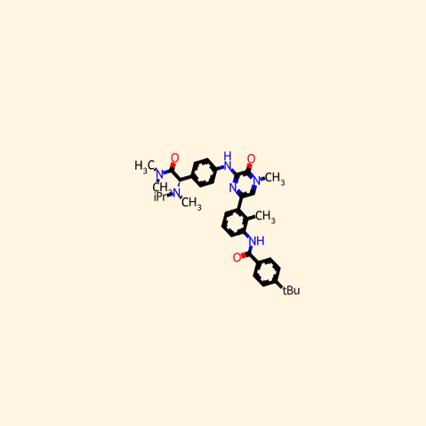 Cc1c(NC(=O)c2ccc(C(C)(C)C)cc2)cccc1-c1cn(C)c(=O)c(Nc2ccc([C@@H](C(=O)N(C)C)N(C)C(C)C)cc2)n1